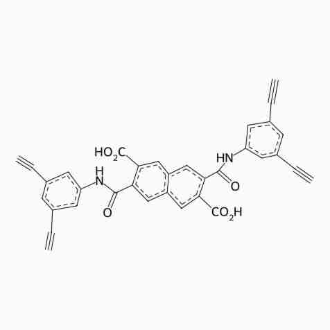 C#Cc1cc(C#C)cc(NC(=O)c2cc3cc(C(=O)O)c(C(=O)Nc4cc(C#C)cc(C#C)c4)cc3cc2C(=O)O)c1